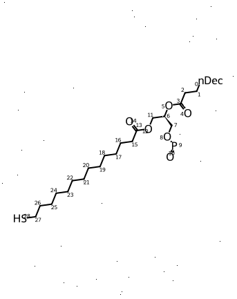 CCCCCCCCCCCCC(=O)O[C@@H](COP=O)COC(=O)CCCCCCCCCCCCCS